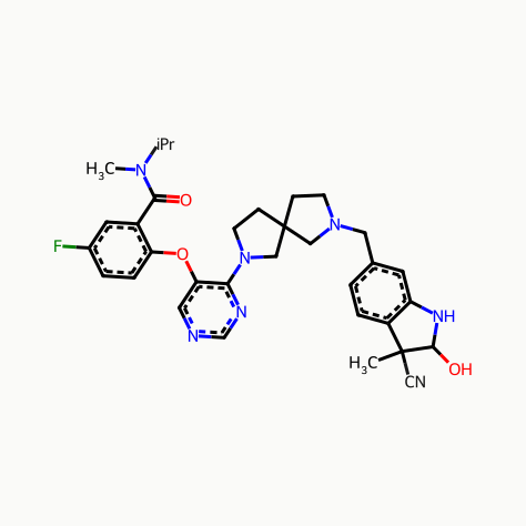 CC(C)N(C)C(=O)c1cc(F)ccc1Oc1cncnc1N1CCC2(CCN(Cc3ccc4c(c3)NC(O)C4(C)C#N)C2)C1